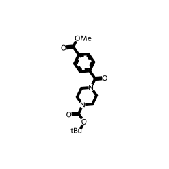 COC(=O)c1ccc(C(=O)N2CCN(C(=O)OC(C)(C)C)CC2)cc1